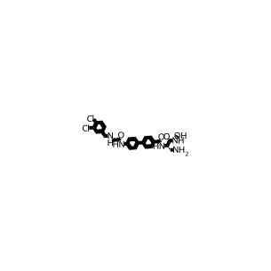 NC[C@H](NC(=O)c1ccc(-c2ccc(NC(=O)CNCc3ccc(Cl)c(Cl)c3)cc2)cc1)C(=O)NO